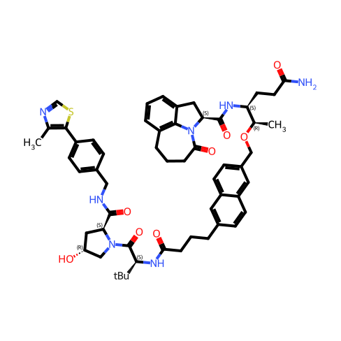 Cc1ncsc1-c1ccc(CNC(=O)[C@@H]2C[C@@H](O)CN2C(=O)[C@@H](NC(=O)CCCc2ccc3cc(CO[C@H](C)[C@H](CCC(N)=O)NC(=O)[C@@H]4Cc5cccc6c5N4C(=O)CCC6)ccc3c2)C(C)(C)C)cc1